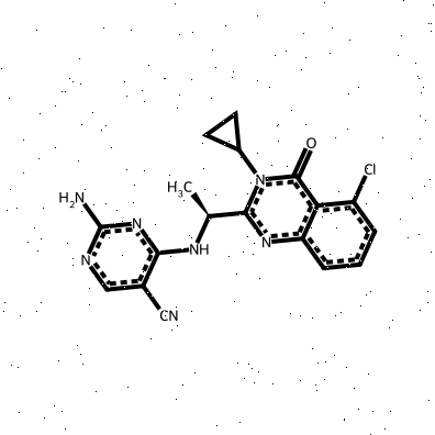 C[C@H](Nc1nc(N)ncc1C#N)c1nc2cccc(Cl)c2c(=O)n1C1CC1